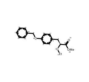 CCO[C@@H](Cc1ccc(OCc2ccccc2)cc1)C(=O)OC